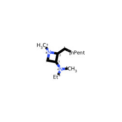 CCCCCCC1C(N(C)CC)CN1C